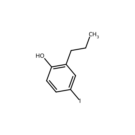 CCCc1cc(I)ccc1O